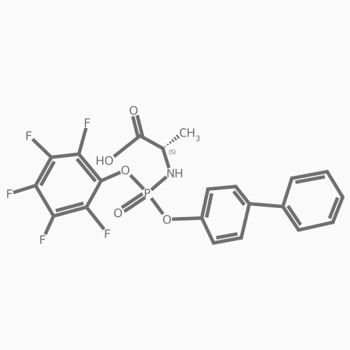 C[C@H](NP(=O)(Oc1ccc(-c2ccccc2)cc1)Oc1c(F)c(F)c(F)c(F)c1F)C(=O)O